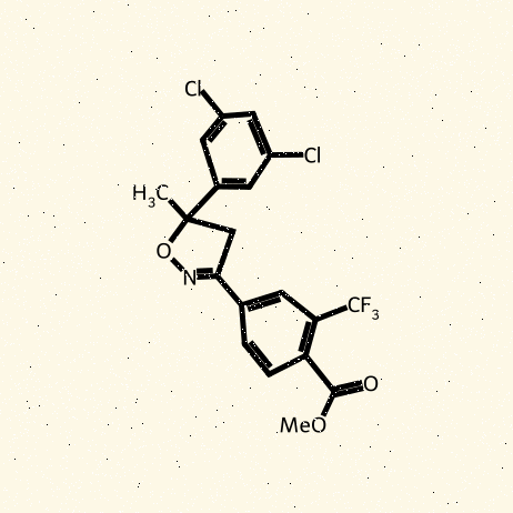 COC(=O)c1ccc(C2=NOC(C)(c3cc(Cl)cc(Cl)c3)C2)cc1C(F)(F)F